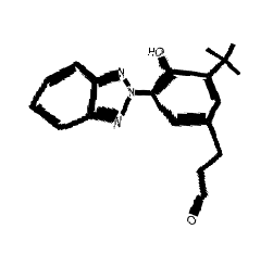 CC(C)(C)c1cc(CCC=O)cc(-n2nc3ccccc3n2)c1O